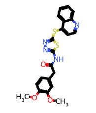 COc1ccc(CC(=O)Nc2nnc(Sc3ccnc4ccccc34)s2)cc1OC